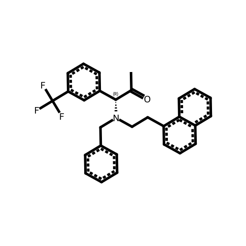 CC(=O)[C@@H](c1cccc(C(F)(F)F)c1)N(CCc1cccc2ccccc12)Cc1ccccc1